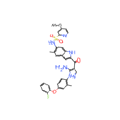 COc1ccnc(S(=O)(=O)Nc2cc3[nH]c(C(=O)c4cnn(-c5ccc(Oc6ccccc6F)cc5C)c4N)cc3cc2C)c1